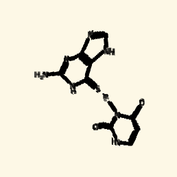 Nc1nc2nc[nH]c2c(=S)[nH]1.O=c1cc[nH]c(=O)n1F